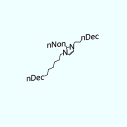 CCCCCCCCCCCCCCCCN1C=CN(CCCCCCCCCCCC)C1CCCCCCCCC